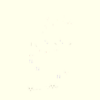 COC(OC)C1CCN(c2cc([C@H](C(=O)N3C[C@H](OC(=O)OC(C)C(C)SS(C)(=O)=O)C[C@H]3C(=O)N[C@@H](C)c3ccc(-c4ocnc4C)cc3)C(C)C)on2)CC1